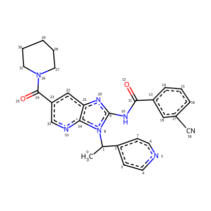 CC(c1ccncc1)n1c(NC(=O)c2cccc(C#N)c2)nc2cc(C(=O)N3CCCCC3)cnc21